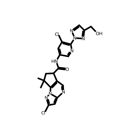 CC1(C)CC(C(=O)Nc2cnc(-n3ncc(CO)n3)c(Cl)c2)c2cnc3cc(Cl)nn3c21